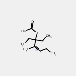 CC/N=C(/C)C(CC)(CC)OC(=O)O